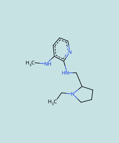 CCN1CCCC1CNc1ncccc1NC